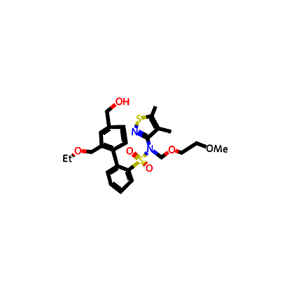 CCOCc1cc(CO)ccc1-c1ccccc1S(=O)(=O)N(COCCOC)c1nsc(C)c1C